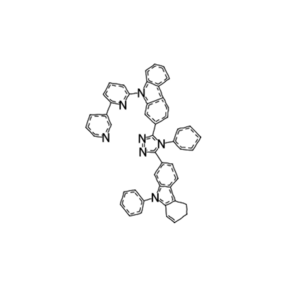 C1=Cc2c(c3ccc(-c4nnc(-c5ccc6c7ccccc7n(-c7cccc(-c8cccnc8)n7)c6c5)n4-c4ccccc4)cc3n2-c2ccccc2)CC1